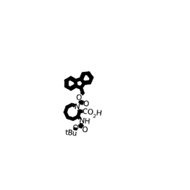 CC(C)(C)OC(=O)NC1CCCCCN(C(=O)OCC2c3ccccc3-c3ccccc32)C1C(=O)O